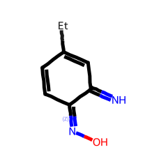 CCC1=CC(=N)/C(=N\O)C=C1